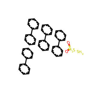 O=S=O.S.S.c1ccc(-c2ccccc2)cc1.c1ccc(-c2ccccc2)cc1.c1ccc(-c2ccccc2)cc1.c1ccc(-c2ccccc2)cc1